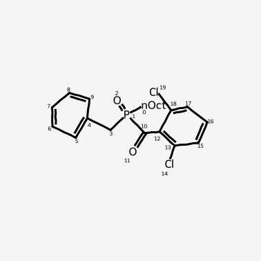 CCCCCCCCP(=O)(Cc1ccccc1)C(=O)c1c(Cl)cccc1Cl